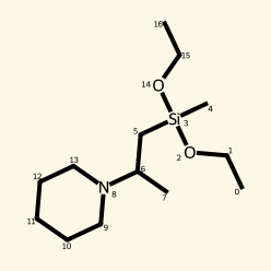 CCO[Si](C)(CC(C)N1CCCCC1)OCC